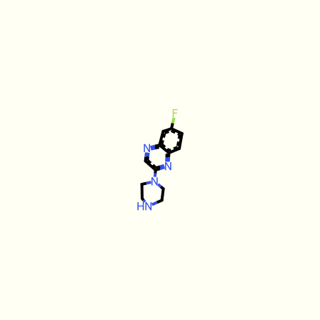 Fc1ccc2nc(N3CCNCC3)cnc2c1